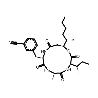 CCCC[C@H](C)[C@@H]1CC(=O)N[C@@H](Cc2cccc(C#N)c2)C(=O)N[C@@H](C)C(=O)N[C@H]([C@@H](C)CC)C(=O)O1